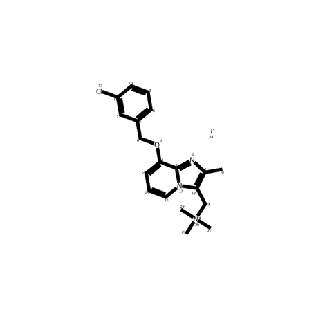 Cc1nc2c(OCc3cccc(Cl)c3)cccn2c1C[N+](C)(C)C.[I-]